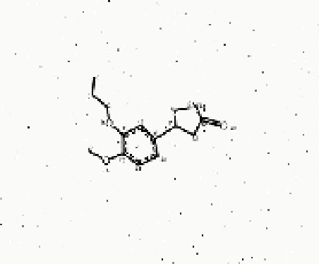 CCCOc1cc(C2CNC(=O)C2)ccc1OC